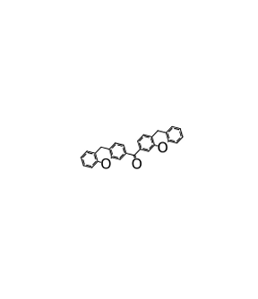 O=C(c1ccc2c(c1)Oc1ccccc1C2)c1ccc2c(c1)Oc1ccccc1C2